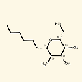 CCCCCO[C@@H]1O[C@H](CO)[C@@H](O)[C@H](O)[C@H]1N